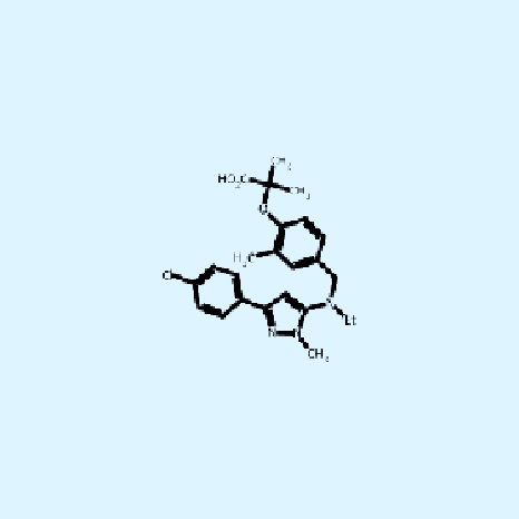 CCN(Cc1ccc(OC(C)(C)C(=O)O)c(C)c1)c1cc(-c2ccc(Cl)cc2)nn1C